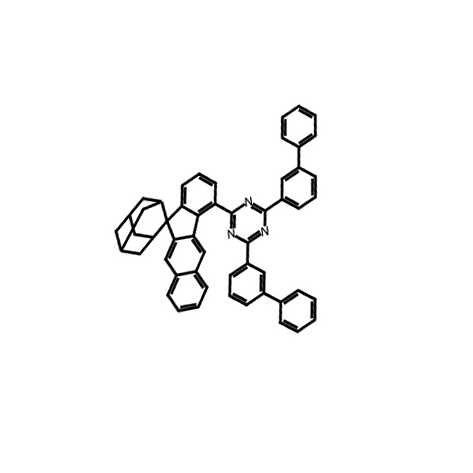 c1ccc(-c2cccc(-c3nc(-c4cccc(-c5ccccc5)c4)nc(-c4cccc5c4-c4cc6ccccc6cc4C54C5CC6CC(C5)CC4C6)n3)c2)cc1